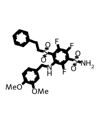 COc1ccc(CNc2c(F)c(S(N)(=O)=O)c(F)c(F)c2S(=O)(=O)CCc2ccccc2)cc1OC